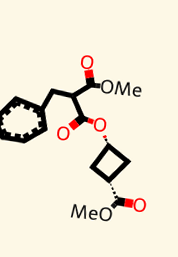 COC(=O)C(Cc1ccccc1)C(=O)O[C@H]1C[C@@H](C(=O)OC)C1